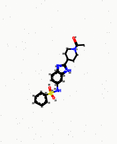 CC(=O)N1CCC(c2nc3ccc(NS(=O)(=O)c4ccccc4)cc3[nH]2)CC1